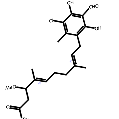 COC(CC(=O)C(C)(C)C)/C(C)=C/CC/C(C)=C/Cc1c(C)c(Cl)c(O)c(C=O)c1O